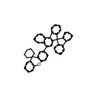 c1ccc2c(c1)Oc1ccc(-c3cc4c(c5ccccc35)-c3ccccc3C43c4ccccc4-c4ccccc43)cc1C21CCCCC1